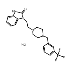 Cl.O=c1[nH]c2ccccc2n1CCN1CCN(Cc2cccc(C(F)(F)F)c2)CC1